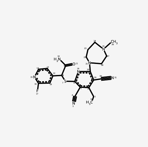 CCc1c(C#N)c(SC(C(N)=O)c2ccnc(F)c2)nc(N2CCCN(C)CC2)c1C#N